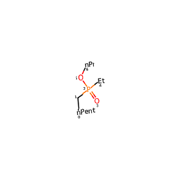 CCCCCCP(=O)(CC)OCCC